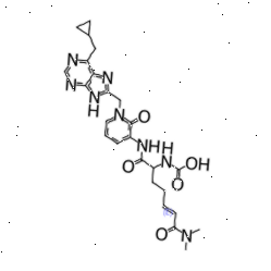 CN(C)C(=O)/C=C/CCC(NC(=O)O)C(=O)Nc1cccn(Cc2nc3c(CC4CC4)ncnc3[nH]2)c1=O